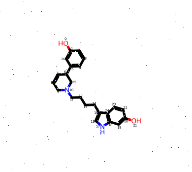 Oc1cccc(C2C=CCN(CCCCc3c[nH]c4cc(O)ccc34)C2)c1